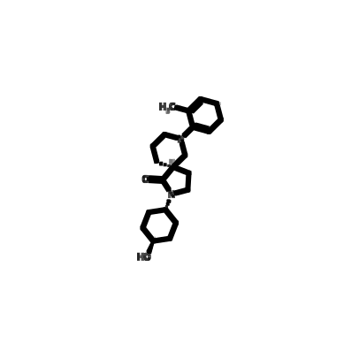 CC1=C[CH]CC=C1N1CCC[C@@]2(CCN([C@H]3CC[C@H](O)CC3)C2=O)C1